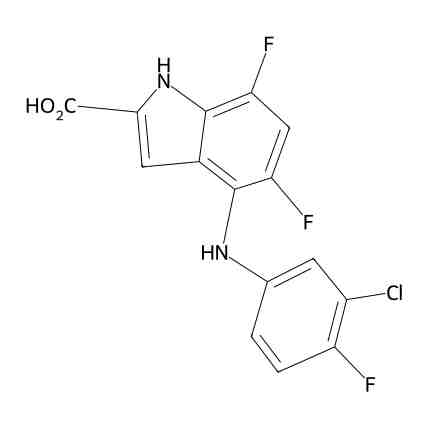 O=C(O)c1cc2c(Nc3ccc(F)c(Cl)c3)c(F)cc(F)c2[nH]1